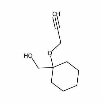 C#CCOC1(CO)CCCCC1